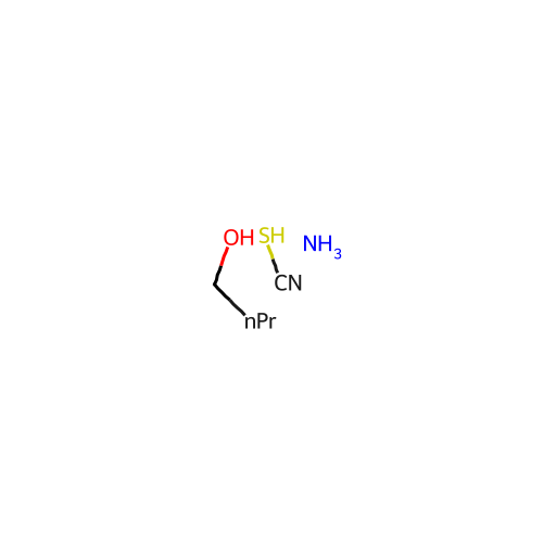 CCCCO.N.N#CS